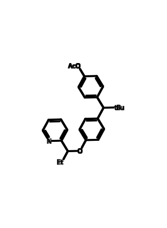 CCC(Oc1ccc(C(c2ccc(OC(C)=O)cc2)C(C)(C)C)cc1)c1ccccn1